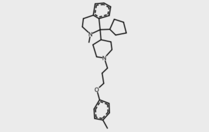 Cc1ccc(OCCCN2CCC(C3(C4CCCC4)c4ccccc4CCN3C)CC2)cc1